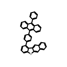 c1ccc(-c2c3ccccc3c(-c3ccc(-c4cccc5oc6cc7ccccc7cc6c45)cc3)c3ccccc23)cc1